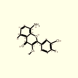 COc1c(-c2ccc(F)c(Cl)c2)oc2c(N)ccc(C)c2c1=O